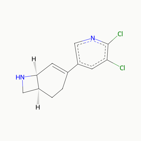 Clc1cc(C2=C[C@@H]3NC[C@@H]3CC2)cnc1Cl